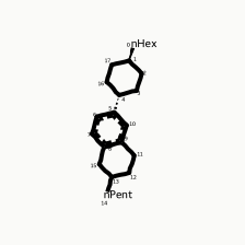 CCCCCC[C@H]1CC[C@H](c2ccc3c(c2)CCC(CCCCC)C3)CC1